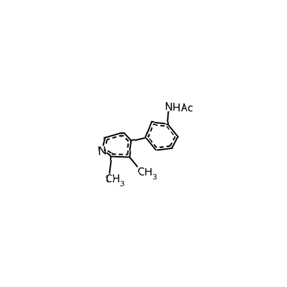 CC(=O)Nc1cccc(-c2ccnc(C)c2C)c1